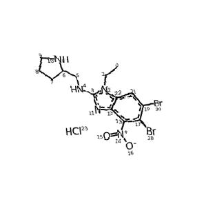 CCn1c(NCC2CCCN2)nc2c([N+](=O)[O-])c(Br)c(Br)cc21.Cl